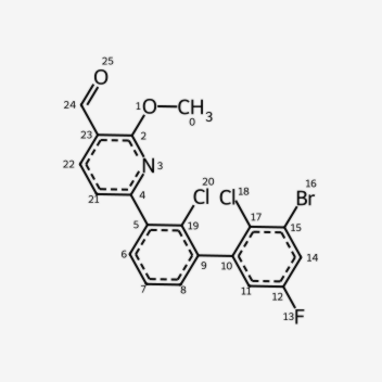 COc1nc(-c2cccc(-c3cc(F)cc(Br)c3Cl)c2Cl)ccc1C=O